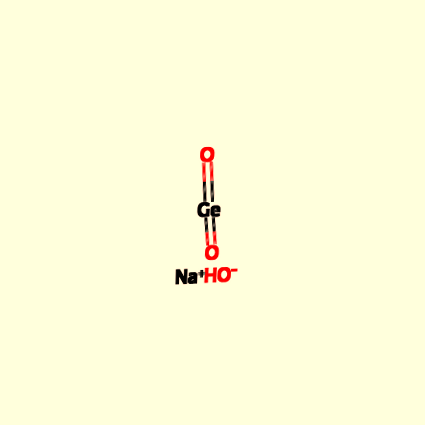 [Na+].[OH-].[O]=[Ge]=[O]